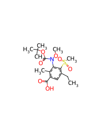 CCc1cc(C(=O)O)c(C)c(N(OC)C(=O)OC(C)(C)C)c1S(C)(=O)=O